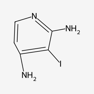 Nc1ccnc(N)c1I